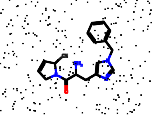 N#CC1C=CCN1C(=O)C(N)Cc1cn(Cc2ccccc2)cn1